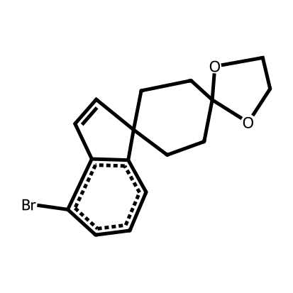 Brc1cccc2c1C=CC21CCC2(CC1)OCCO2